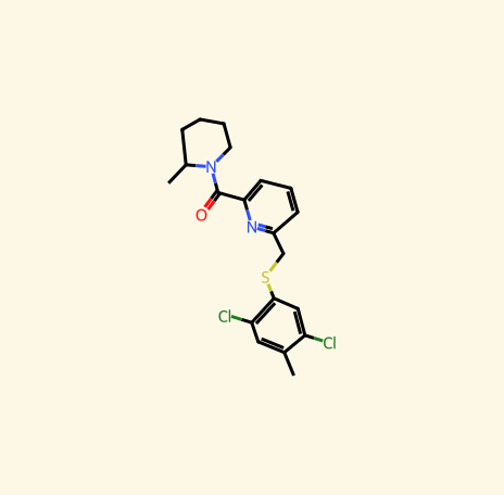 Cc1cc(Cl)c(SCc2cccc(C(=O)N3CCCCC3C)n2)cc1Cl